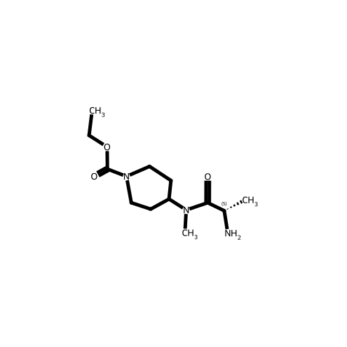 CCOC(=O)N1CCC(N(C)C(=O)[C@H](C)N)CC1